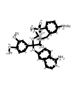 CCOc1cc(C(OC(=O)C(F)(F)F)(Oc2ccc3c(N)nccc3c2)C(=O)NCc2cc(NC(C)=O)ccc2S(=O)(=O)CC)ccc1OC(C)C